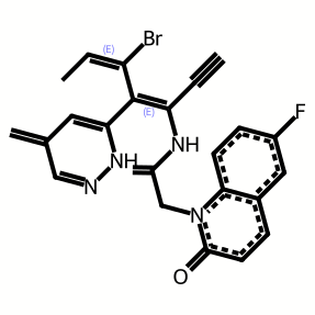 C#C/C(NC(=C)Cn1c(=O)ccc2cc(F)ccc21)=C(C1=CC(=C)C=NN1)\C(Br)=C/C